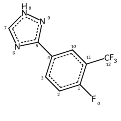 Fc1ccc(-c2nc[nH]n2)cc1C(F)(F)F